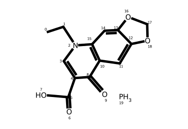 CCn1cc(C(=O)O)c(=O)c2cc3c(cc21)OCO3.P